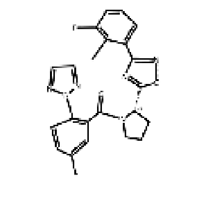 Cc1c(F)cccc1-c1noc([C@@H]2CCCN2C(=O)c2cc(F)ccc2-n2nccn2)n1